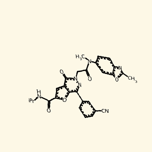 Cc1nc2ccc(N(C)C(=O)Cn3nc(-c4cccc(C#N)c4)c4oc(C(=O)NC(C)C)cc4c3=O)cc2o1